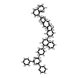 c1ccc(-c2nc(-c3ccccc3)nc(-c3ccc(-c4ccc(-c5ccc6oc7cc8nc(-c9cccc%10nccnc9%10)oc8cc7c6c5)c5ccccc45)cc3)n2)cc1